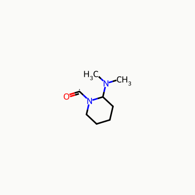 CN(C)C1CCCCN1[C]=O